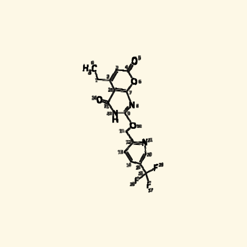 CCc1cc(=O)oc2nc(OCc3ccc(C(F)(F)F)cn3)[nH]c(=O)c12